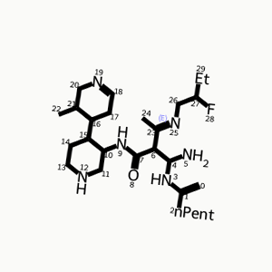 C=C(CCCCC)NC(N)C(C(=O)NC1CNCCC1C1CC=NCC1C)/C(C)=N/CC(F)CC